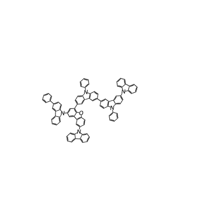 c1ccc(-c2ccc3c(c2)c2ccccc2n3-c2cc(-c3ccc4c(c3)c3cc(-c5ccc6c(c5)c5cc(-n7c8ccccc8c8ccccc87)ccc5n6-c5ccccc5)ccc3n4-c3ccccc3)c3oc4ccc(-n5c6ccccc6c6ccccc65)cc4c3c2)cc1